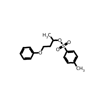 Cc1ccc(S(=O)(=O)OC(C)CCOc2ccccc2)cc1